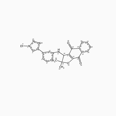 CCn1cc(-c2cccc(NC3C4=C(OC3(C)C)C(=O)c3ccccc3C4=O)c2)nn1